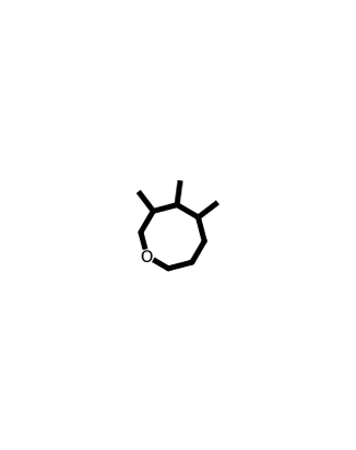 CC1CCCOCC(C)C1C